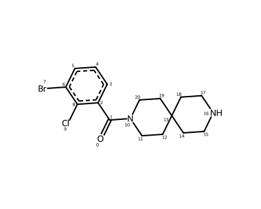 O=C(c1cccc(Br)c1Cl)N1CCC2(CCNCC2)CC1